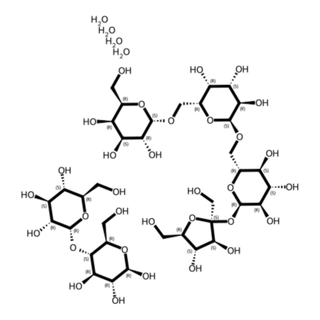 O.O.O.O.OC[C@H]1O[C@H](OC[C@H]2O[C@H](OC[C@H]3O[C@H](O[C@]4(CO)O[C@H](CO)[C@@H](O)[C@@H]4O)[C@H](O)[C@@H](O)[C@@H]3O)[C@H](O)[C@@H](O)[C@H]2O)[C@H](O)[C@@H](O)[C@H]1O.OC[C@H]1O[C@H](O[C@H]2[C@H](O)[C@@H](O)[C@H](O)O[C@@H]2CO)[C@H](O)[C@@H](O)[C@@H]1O